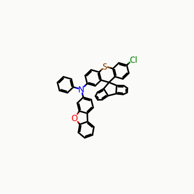 Clc1ccc2c(c1)Sc1ccc(N(c3ccccc3)c3ccc4c(c3)oc3ccccc34)cc1C21c2ccccc2-c2ccccc21